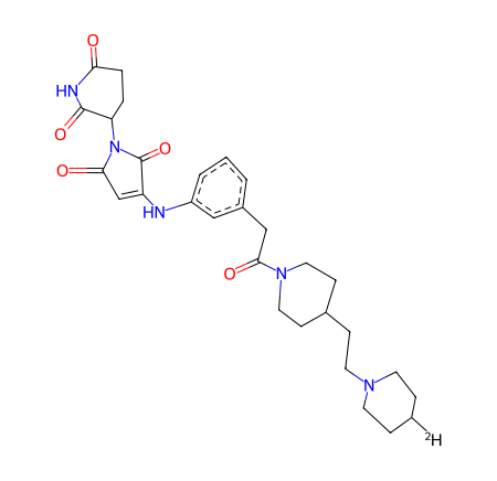 [2H]C1CCN(CCC2CCN(C(=O)Cc3cccc(NC4=CC(=O)N(C5CCC(=O)NC5=O)C4=O)c3)CC2)CC1